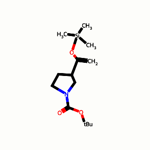 C=C(O[Si](C)(C)C)C1CCN(C(=O)OC(C)(C)C)C1